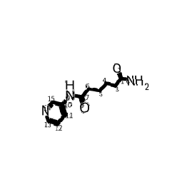 NC(=O)CCCCC(=O)Nc1cccnc1